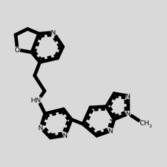 Cn1ncc2cc(-c3cc(NCCc4ccnc5c4OCC5)ncn3)cnc21